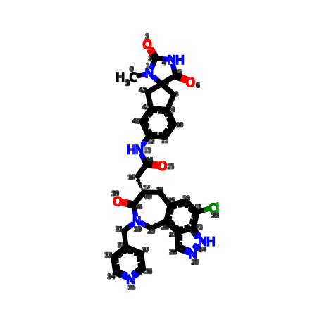 CN1C(=O)NC(=O)C12Cc1ccc(NC(=O)C[C@@H]3Cc4cc(Cl)c5[nH]ncc5c4CN(Cc4ccncc4)C3=O)cc1C2